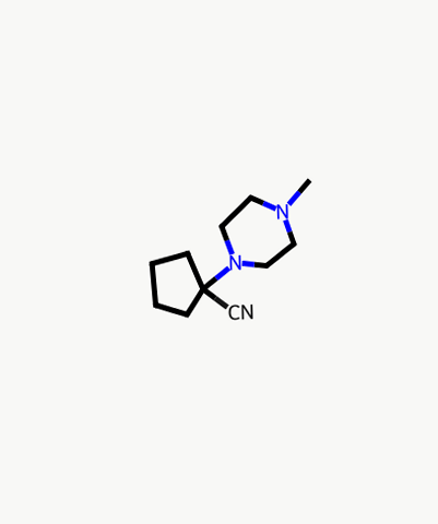 CN1CCN(C2(C#N)CCCC2)CC1